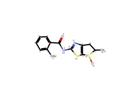 CC(=O)Oc1ccccc1C(=O)Nc1nc2c(s1)[S+]([O-])C(C)C2